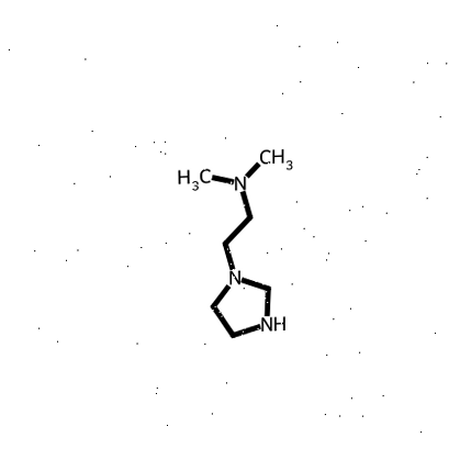 CN(C)CCN1CCNC1